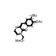 COCN1C=CS/C(=C/c2ccc(OC(C)=O)c(C(C)(C)C)c2)C1=O